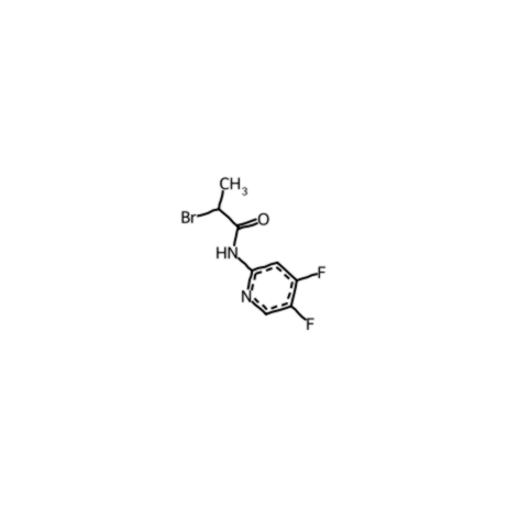 CC(Br)C(=O)Nc1cc(F)c(F)cn1